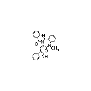 CN1C(=O)[C@@H](Cc2c[nH]c3ccccc23)n2c(nc3ccccc3c2=O)-c2ccccc21